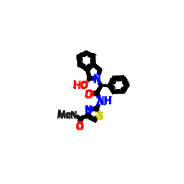 CNC(=O)c1csc(NC(=O)[C@@H](c2ccccc2)N2Cc3ccccc3C2O)n1